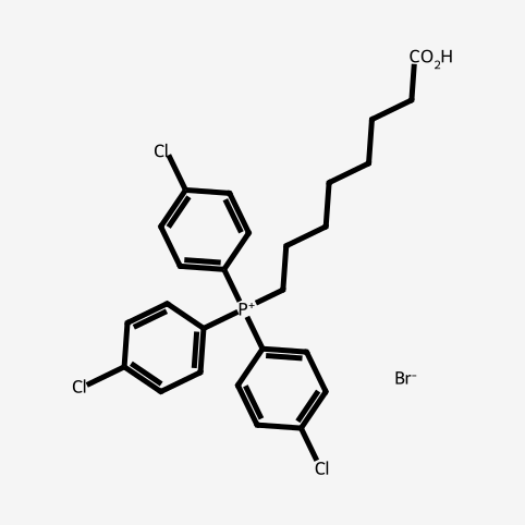 O=C(O)CCCCCCC[P+](c1ccc(Cl)cc1)(c1ccc(Cl)cc1)c1ccc(Cl)cc1.[Br-]